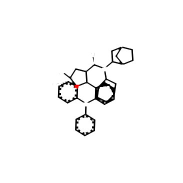 CCCCCC[C@@]1(C)CC(c2ccccc2P(c2ccccc2)c2ccccc2)C([C@@H](N)P(C2CC3CCC2C3)C2CC3CCC2C3)C1